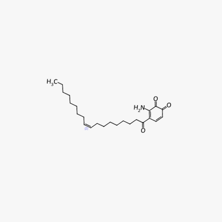 CCCCCCCC/C=C\CCCCCCCC(=O)C1=C(N)C(=O)C(=O)C=C1